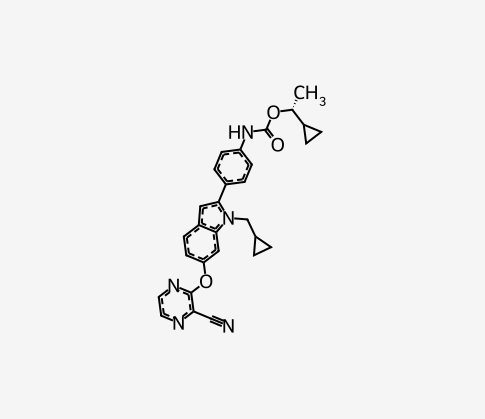 C[C@@H](OC(=O)Nc1ccc(-c2cc3ccc(Oc4nccnc4C#N)cc3n2CC2CC2)cc1)C1CC1